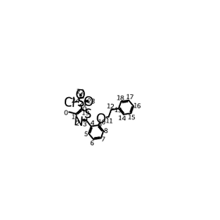 Cc1nc(-c2ccccc2OCCc2ccccc2)sc1S(=O)(=O)Cl